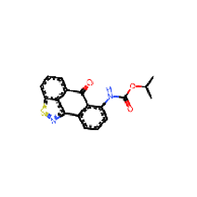 CC(C)OC(=O)Nc1cccc2c1C(=O)c1cccc3snc-2c13